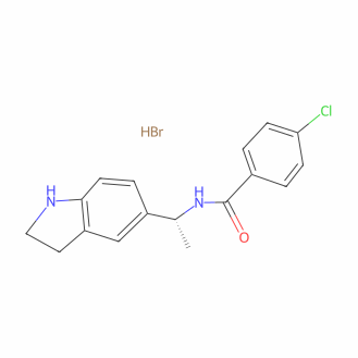 Br.C[C@@H](NC(=O)c1ccc(Cl)cc1)c1ccc2c(c1)CCN2